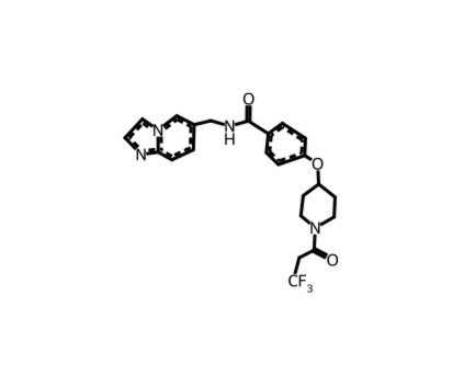 O=C(NCc1ccc2nccn2c1)c1ccc(OC2CCN(C(=O)CC(F)(F)F)CC2)cc1